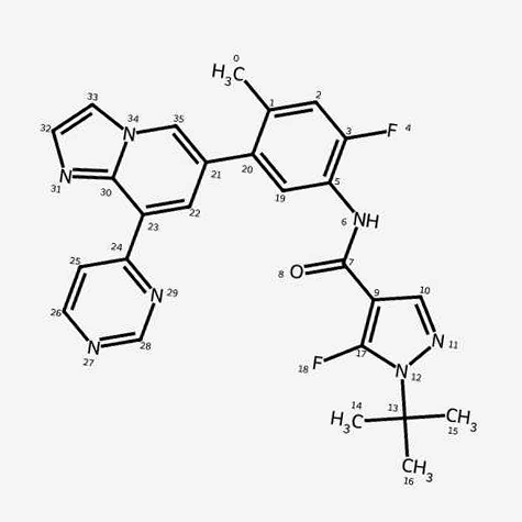 Cc1cc(F)c(NC(=O)c2cnn(C(C)(C)C)c2F)cc1-c1cc(-c2ccncn2)c2nccn2c1